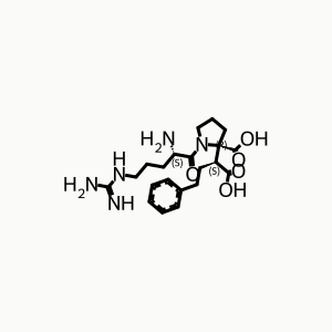 N=C(N)NCCC[C@H](N)C(=O)N1CCC[C@]1(C(=O)O)[C@H](CCc1ccccc1)C(=O)O